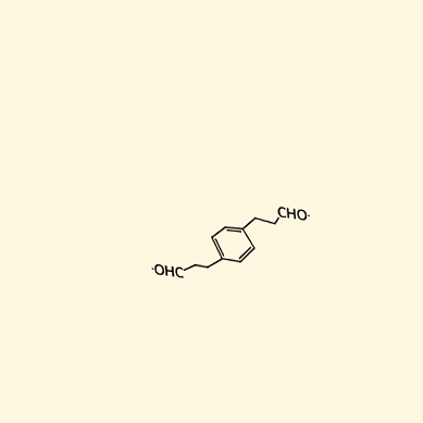 O=[C]CCc1ccc(CC[C]=O)cc1